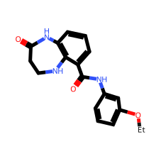 CCOc1cccc(NC(=O)c2cccc3c2NCCC(=O)N3)c1